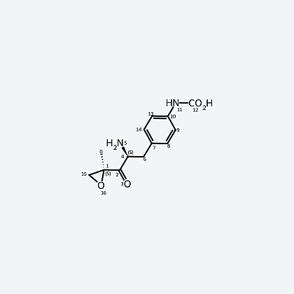 C[C@@]1(C(=O)[C@@H](N)Cc2ccc(NC(=O)O)cc2)CO1